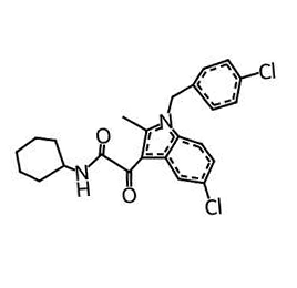 Cc1c(C(=O)C(=O)NC2CCCCC2)c2cc(Cl)ccc2n1Cc1ccc(Cl)cc1